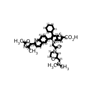 Cc1nc(C)c(-c2ccc3cc(-c4c(C5CCCCC5)c5sc(C(=O)O)cc5n4CC(=O)N4CCOC(CN(C)C)C4)ccc3n2)o1